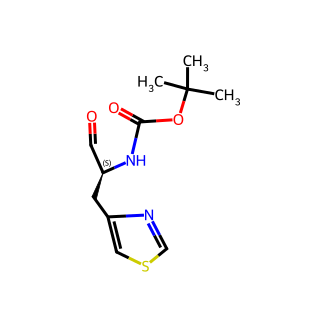 CC(C)(C)OC(=O)N[C@H](C=O)Cc1cscn1